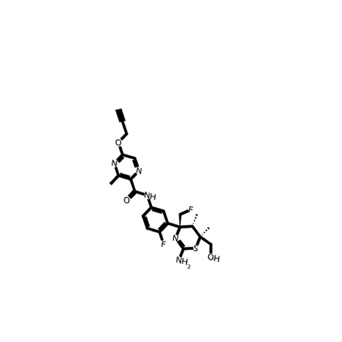 C#CCOc1cnc(C(=O)Nc2ccc(F)c([C@@]3(CF)N=C(N)S[C@](C)(CO)[C@H]3C)c2)c(C)n1